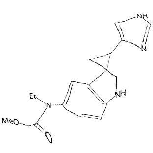 CCN(C(=O)OC)c1ccc2c(c1)C1(CN2)CC1c1c[nH]cn1